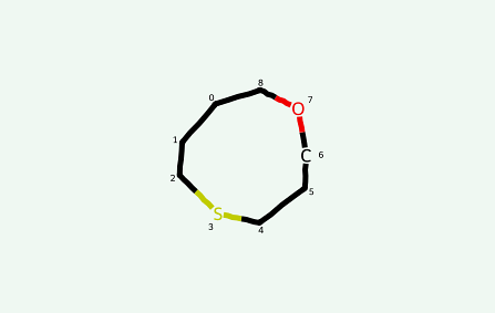 C1CCSCCCOC1